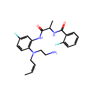 C/C=C\CN(CCN)c1ccc(F)cc1NC(=O)C(C)NC(=O)c1ccccc1F